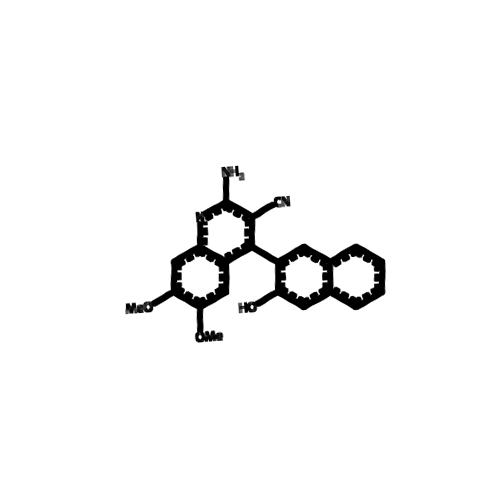 COc1cc2nc(N)c(C#N)c(-c3cc4ccccc4cc3O)c2cc1OC